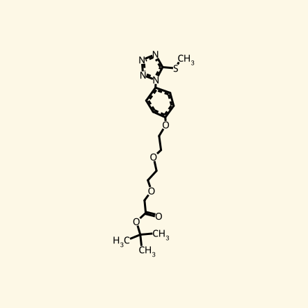 CSc1nnnn1-c1ccc(OCCOCCOCC(=O)OC(C)(C)C)cc1